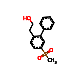 CS(=O)(=O)c1ccc(CCO)c(-c2ccccc2)c1